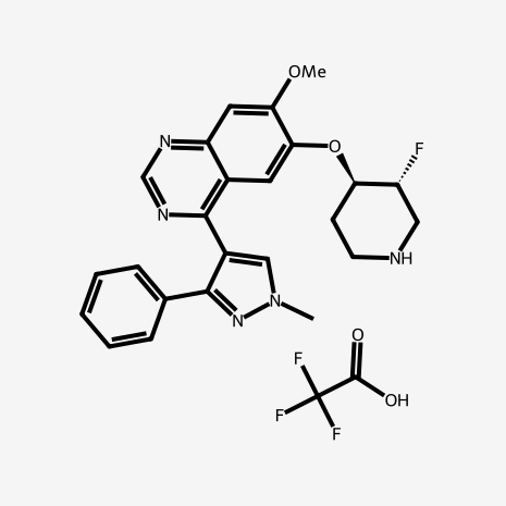 COc1cc2ncnc(-c3cn(C)nc3-c3ccccc3)c2cc1O[C@@H]1CCNC[C@H]1F.O=C(O)C(F)(F)F